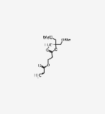 C=CC(=O)OCCC(=O)OC(C)(COC)COC